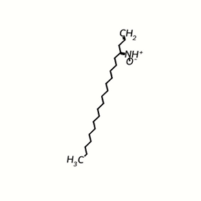 C=CCC(CCCCCCCCCCCCCCCCC)=[NH+][O-]